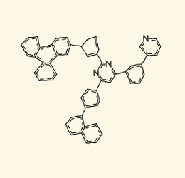 C1=CC(c2nc(-c3ccc(-c4cccc5ccccc45)cc3)cc(-c3cccc(-c4cccnc4)c3)n2)=CC(c2ccc3c4ccccc4c4ccccc4c3c2)C1